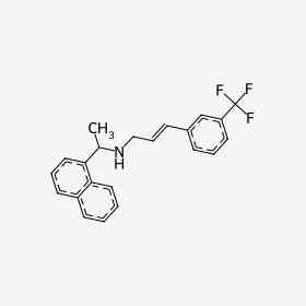 CC(NCC=Cc1cccc(C(F)(F)F)c1)c1cccc2ccccc12